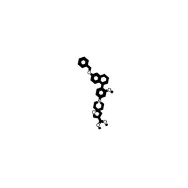 COc1cc(N2CCC3(CC2)CC(C(OC)OC)CO3)ccc1C1=CCCc2cc(OCc3ccccc3)ccc21